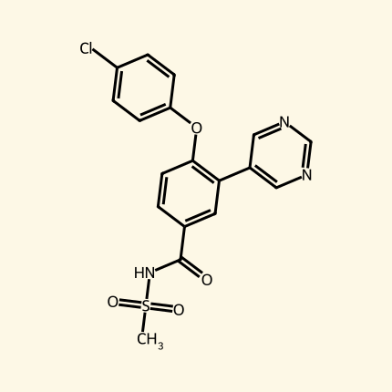 CS(=O)(=O)NC(=O)c1ccc(Oc2ccc(Cl)cc2)c(-c2cncnc2)c1